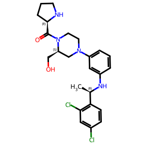 C[C@@H](Nc1cccc(N2CCN(C(=O)[C@H]3CCCN3)[C@H](CO)C2)c1)c1ccc(Cl)cc1Cl